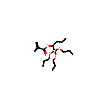 C=C(C)C(=O)OC(CCC)[Si](OCCC)(OCCC)OCCC